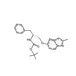 Cc1cn2cc(OC[C@@H](Cc3ccccc3)NC(=O)OC(C)(C)C)ccc2n1